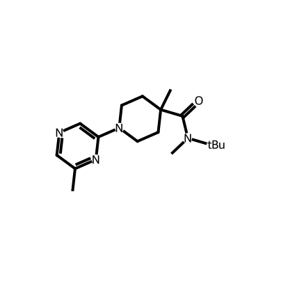 Cc1cncc(N2CCC(C)(C(=O)N(C)C(C)(C)C)CC2)n1